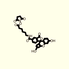 O=C(CCCCCNC(=O)c1ccc2c(c1)C(=O)OC21c2ccc(O)cc2Oc2cc(O)ccc21)ON1C(=O)CCC1=O